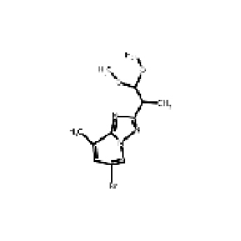 COC(OC)C(C)c1nc2c(C)cc(Br)cn2n1